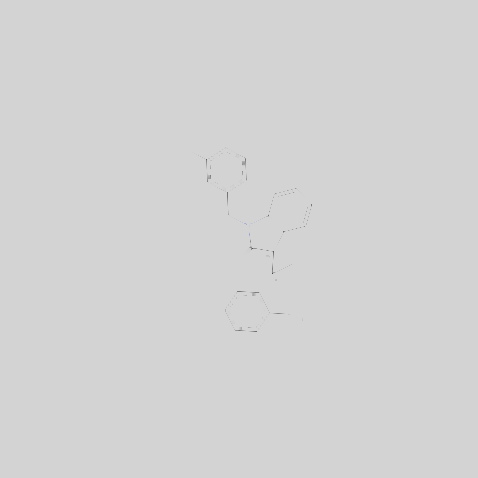 O=C(O)c1cccc(CN2C(=O)[C@@]3(C[C@@H]3c3ccccc3C(F)(F)F)C3C=CC=CC32)c1